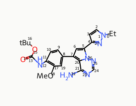 CCn1ccc(-c2cc(-c3ccc(NC(=O)OC(C)(C)C)c(OC)c3)c3c(N)ncnn23)n1